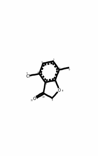 Cc1ccc(Cl)c2c1OCC2=O